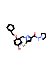 Cc1cc(C(=O)NN2CCCC2)nn1Cc1cc(Br)ccc1OCc1ccccc1